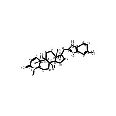 CN1C(=O)C=C[C@@]2(C)C1CC[C@@H]1[C@H]2CC[C@]2(C)C(Cc3nc4cc(Cl)ccc4[nH]3)CC[C@@H]12